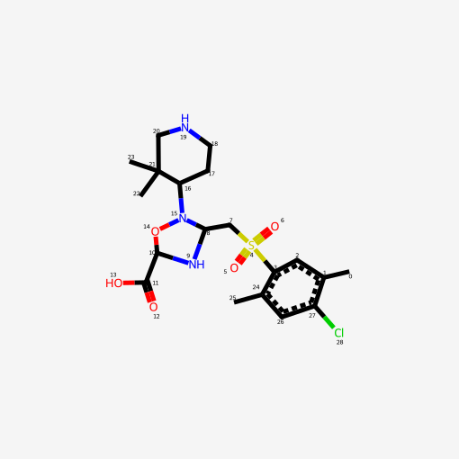 Cc1cc(S(=O)(=O)CC2NC(C(=O)O)ON2C2CCNCC2(C)C)c(C)cc1Cl